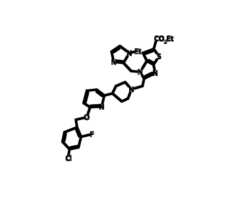 CCOC(=O)c1cc2c(nc(CN3CCC(c4cccc(OCc5ccc(Cl)cc5F)n4)CC3)n2Cc2nccn2CC)s1